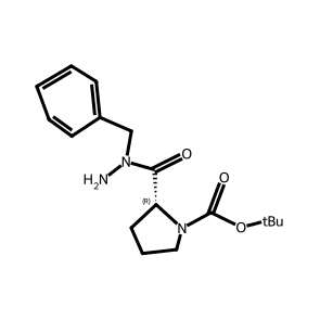 CC(C)(C)OC(=O)N1CCC[C@@H]1C(=O)N(N)Cc1ccccc1